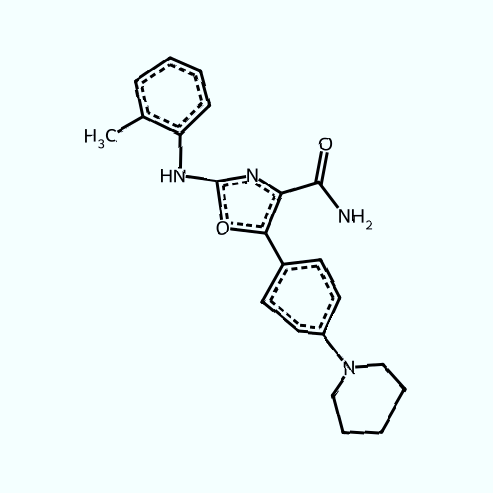 Cc1ccccc1Nc1nc(C(N)=O)c(-c2ccc(N3CCCCC3)cc2)o1